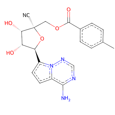 Cc1ccc(C(=O)OC[C@@]2(C#N)O[C@@H](c3ccc4c(N)ncnn34)[C@H](O)[C@@H]2O)cc1